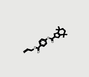 C=CCOC(=O)c1ccc(OC(=O)C2CC3=C(C2)C(C)(C)CCC3(C)C)cc1